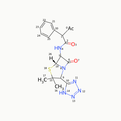 CC(=O)C(C(=O)NC1C(=O)N2C(c3nnn[nH]3)C(C)(C)S[C@H]12)c1ccccc1